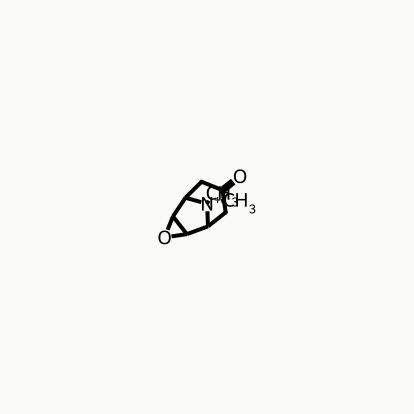 C[N+]1(C)C2CC(=O)CC1C1OC12